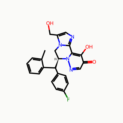 Cc1ccccc1C(c1ccc(F)cc1)[C@H]1Cn2c(CO)cnc2-c2c(O)c(=O)cnn21